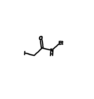 CCNC(=O)CI